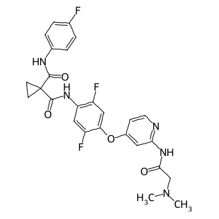 CN(C)CC(=O)Nc1cc(Oc2cc(F)c(NC(=O)C3(C(=O)Nc4ccc(F)cc4)CC3)cc2F)ccn1